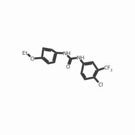 CCOc1ccc(NC(=O)Nc2ccc(Cl)c(C(F)(F)F)c2)cc1